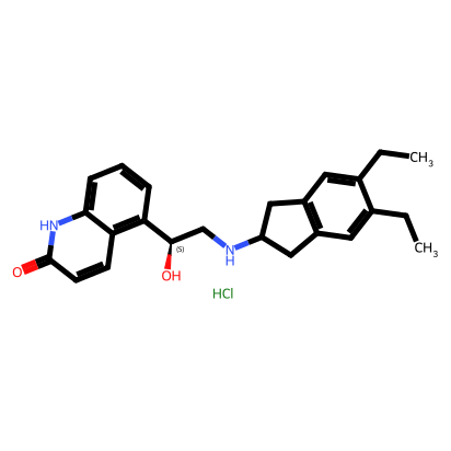 CCc1cc2c(cc1CC)CC(NC[C@@H](O)c1cccc3[nH]c(=O)ccc13)C2.Cl